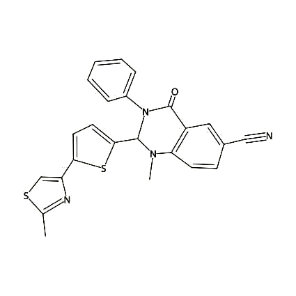 Cc1nc(-c2ccc(C3N(C)c4ccc(C#N)cc4C(=O)N3c3ccccc3)s2)cs1